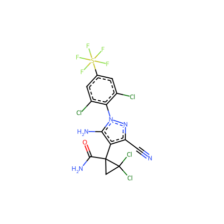 N#Cc1nn(-c2c(Cl)cc(S(F)(F)(F)(F)F)cc2Cl)c(N)c1C1(C(N)=O)CC1(Cl)Cl